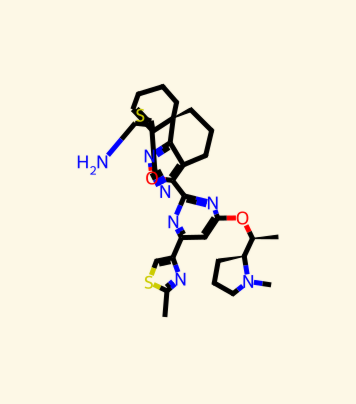 Cc1nc(-c2cc(O[C@@H](C)[C@@H]3CCCN3C)nc(-c3onc4c3CCC[C@@]43CCCc4sc(N)c(C#N)c43)n2)cs1